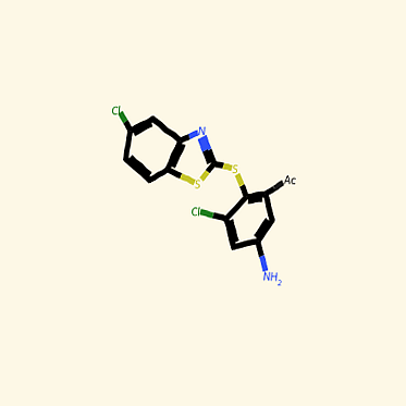 CC(=O)c1cc(N)cc(Cl)c1Sc1nc2cc(Cl)ccc2s1